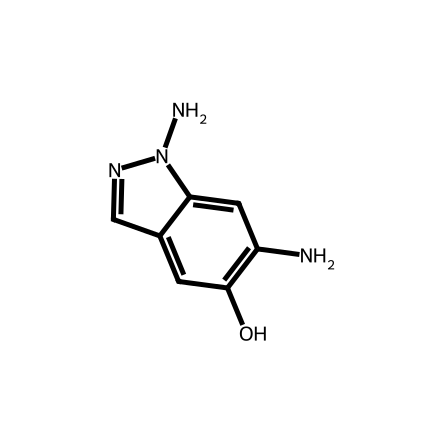 Nc1cc2c(cnn2N)cc1O